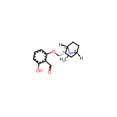 CN1[C@@H]2CC[C@H]1[C@@H](COc1cccc(O)c1C=O)C2